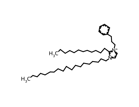 CCCCCCCCCCCCCCCCCCCn1cc[n+](CCCc2ccccc2)c1CCCCCCCCCCCC